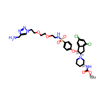 CC(C)(C)OC(=O)N[C@@H]1CCCN([C@H]2Cc3c(Cl)cc(Cl)cc3[C@@H]2Oc2ccc(S(=O)(=O)NCCOCCOCCn3cc(CN)nn3)cc2)C1